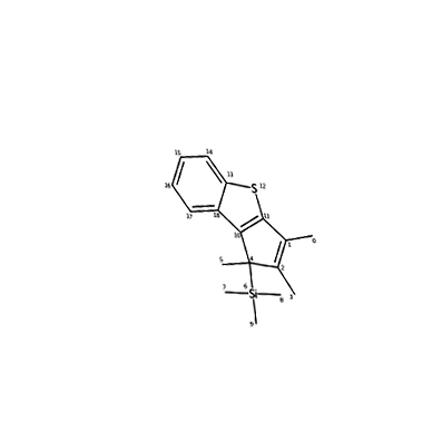 CC1=C(C)C(C)([Si](C)(C)C)c2c1sc1ccccc21